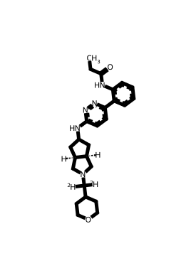 [2H]C([2H])(C1CCOCC1)N1C[C@H]2CC(Nc3ccc(-c4ccccc4NC(=O)CC)nn3)C[C@H]2C1